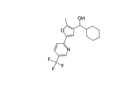 Cc1oc(-c2ccc(C(F)(F)F)cn2)cc1C(O)C1CCCCC1